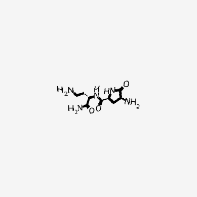 NCC[C@H](NC(=O)[C@@H]1C[C@H](N)C(=O)N1)C(N)=O